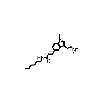 CCCCCCNC(=O)/C=C/c1ccc2[nH]cc(CCN(C)C)c2c1